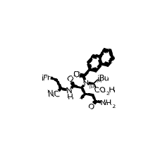 CC[C@H](C)[C@@H](C(=O)O)N(C(=O)c1ccc2ccccc2c1)C(C(=O)NC(C#N)CC(C)C)C(C)CC(N)=O